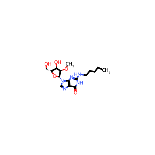 CCCCCNc1nc2c(ncn2[C@@H]2O[C@H](CO)[C@@H](O)[C@H]2OC)c(=O)[nH]1